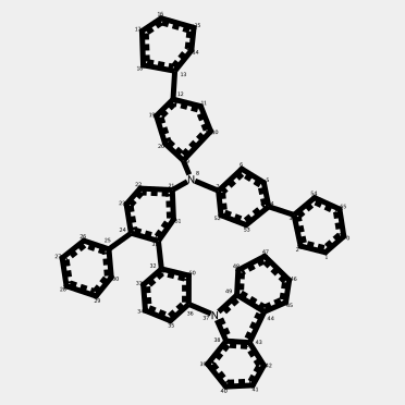 c1ccc(-c2ccc(N(c3ccc(-c4ccccc4)cc3)c3ccc(-c4ccccc4)c(-c4cccc(-n5c6ccccc6c6ccccc65)c4)c3)cc2)cc1